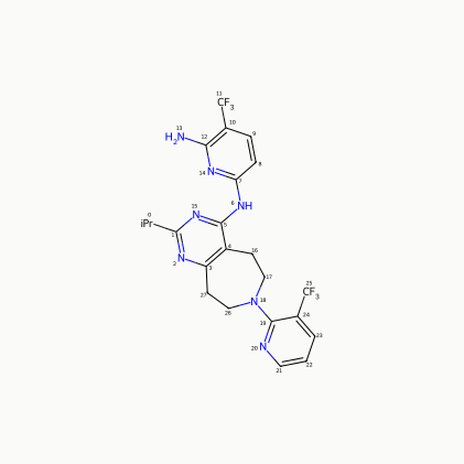 CC(C)c1nc2c(c(Nc3ccc(C(F)(F)F)c(N)n3)n1)CCN(c1ncccc1C(F)(F)F)CC2